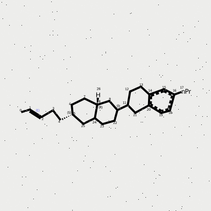 C/C=C/CC[C@@H]1CC[C@@H]2CC(C3CCc4cc(CCC)ccc4C3)CCC2C1